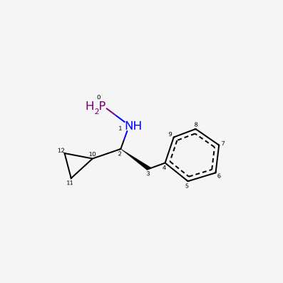 PN[C@@H](Cc1ccccc1)C1CC1